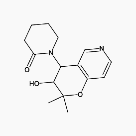 CC1(C)Oc2ccncc2C(N2CCCCC2=O)C1O